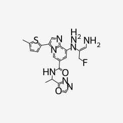 Cc1ccc(-c2cnc3c(N(N)/C(=C\N)CF)cc(C(=O)NC(C)c4nnco4)cn23)s1